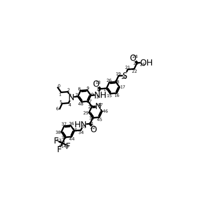 CCCN(CCC)c1ccc(NC(=O)c2cccc(CSCCC(=O)O)c2)c(-c2cc(C(=O)NCc3cccc(C(F)(F)F)c3)ccn2)c1